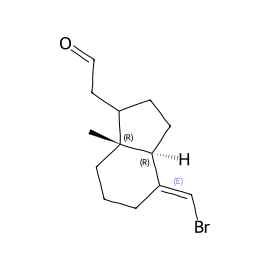 C[C@]12CCC/C(=C\Br)[C@@H]1CCC2CC=O